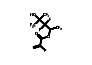 C=C(F)C(=O)OC(C(F)(F)F)C(F)(F)C(O)(C(F)(F)F)C(F)(F)F